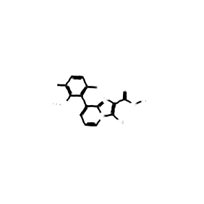 CCCNC(=O)c1nc2c(-c3c(F)ccc(F)c3OC)cccn2c1N